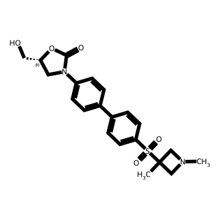 CN1CC(C)(S(=O)(=O)c2ccc(-c3ccc(N4C[C@H](CO)OC4=O)cc3)cc2)C1